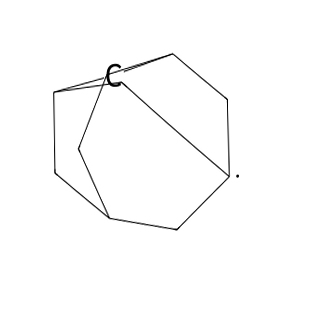 C1CC2C[C]3CC1CC(C3)C2